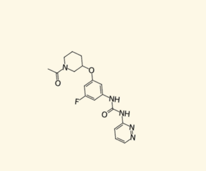 CC(=O)N1CCCC(Oc2cc(F)cc(NC(=O)Nc3cccnn3)c2)C1